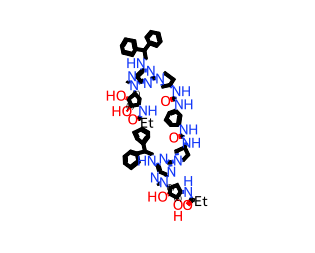 CCC(=O)NC1C[C@H](n2cnc3c(NCC(c4ccccc4)c4ccccc4)nc(N4CCC(NC(=O)Nc5cccc(NC(=O)NC6CCN(c7nc(NCC(c8ccccc8)c8ccccc8)c8ncn([C@@H]9CC(NC(=O)CC)[C@H](O)C9O)c8n7)C6)c5)C4)nc32)C(O)[C@@H]1O